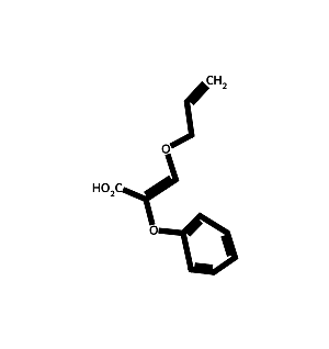 C=CCOC=C(Oc1ccccc1)C(=O)O